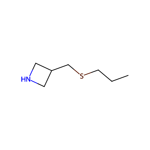 CCCSCC1CNC1